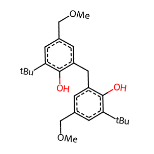 COCc1cc(Cc2cc(COC)cc(C(C)(C)C)c2O)c(O)c(C(C)(C)C)c1